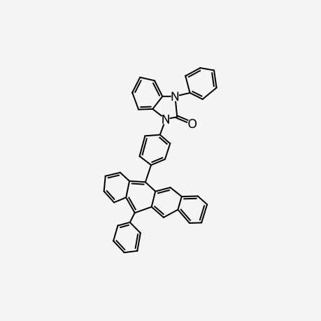 O=c1n(-c2ccccc2)c2ccccc2n1-c1ccc(-c2c3ccccc3c(-c3ccccc3)c3cc4ccccc4cc23)cc1